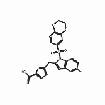 O=C(O)c1ccc(Cc2cc3cc(Cl)ccc3n2S(=O)(=O)c2ccc3c(c2)OCCO3)o1